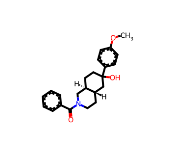 COc1ccc(C2(O)CC[C@@H]3CN(C(=O)c4ccccc4)CC[C@H]3C2)cc1